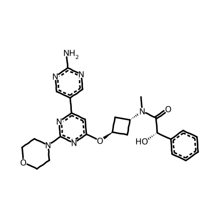 CN(C(=O)[C@@H](O)c1ccccc1)[C@H]1C[C@H](Oc2cc(-c3cnc(N)nc3)nc(N3CCOCC3)n2)C1